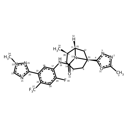 Cc1nnc([C@]23CCC[C@@H](C)[C@H](C2)N3C(=O)Nc2cc(-c3ncn(C)n3)c(C(F)(F)F)cc2F)o1